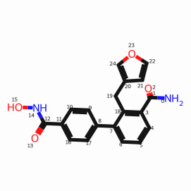 NC(=O)c1cccc(-c2ccc(C(=O)NO)cc2)c1Cc1ccoc1